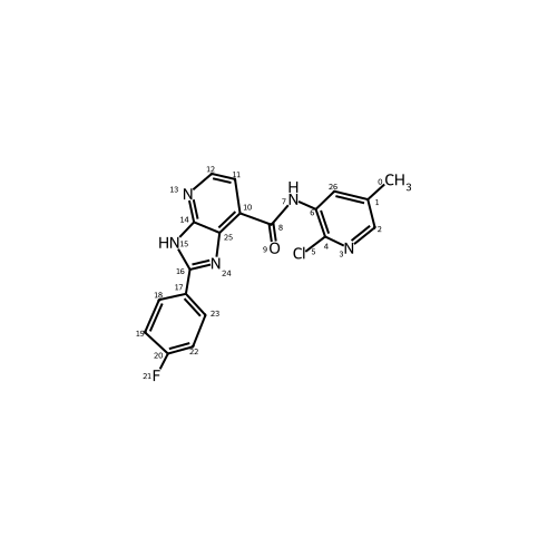 Cc1cnc(Cl)c(NC(=O)c2ccnc3[nH]c(-c4ccc(F)cc4)nc23)c1